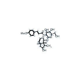 COc1ccc(/C=C/C(=O)O[C@H]2[C@H](O[C@@H]3OC=C[C@H]4C[C@H](O)[C@H](C)[C@@H]34)O[C@H](CO)[C@@H](O)[C@@H]2O)cc1